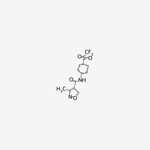 Cc1nocc1C(=O)Nc1ccc(S(=O)(=O)C(F)(F)F)cc1